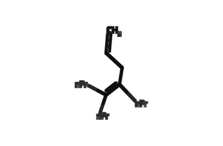 C=CCC(CCC)=C(CCC)CCC